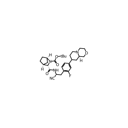 CC(C)(C)OC(=O)N1[C@@H]2CC[C@@H](C2)[C@H]1C(=O)N[C@H](C#N)Cc1ccc(C2CCN3CCOC[C@H]3C2)cc1F